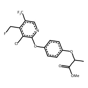 COC(=O)C(C)Oc1ccc(Oc2ncc(C(F)(F)F)c(CF)c2Cl)cc1